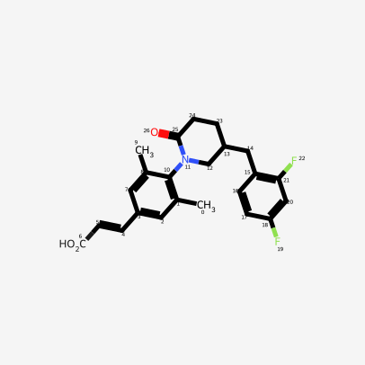 Cc1cc(C=CC(=O)O)cc(C)c1N1CC(Cc2ccc(F)cc2F)CCC1=O